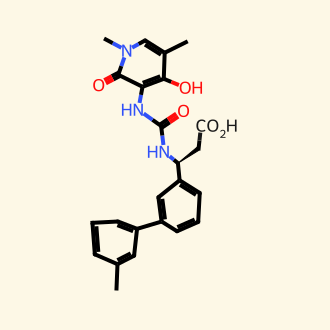 Cc1cccc(-c2cccc([C@H](CC(=O)O)NC(=O)Nc3c(O)c(C)cn(C)c3=O)c2)c1